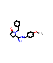 COc1ccc(CNC(=N)C2CCC(=O)N2Cc2ccccc2)cc1